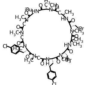 CCC(C)[C@@H]1NC(=O)[C@H](C)N(C)C(=O)C[C@@H](C)NC(=O)[C@H](CC(C)C)N(C)C(=O)C(C)(C)NC(=O)[C@H](CC(C)C)N(C)C(=O)[C@H](CCc2ccc(Cl)cc2)NC(=O)CN(C)C(=O)[C@H](Cc2ccc(Cl)cc2)N(C)C(=O)CN(C)C(=O)CN(C)C1=O